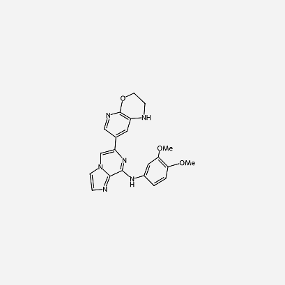 COc1ccc(Nc2nc(-c3cnc4c(c3)NCCO4)cn3ccnc23)cc1OC